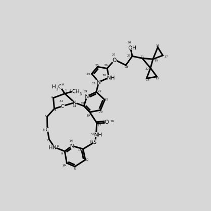 CC1(C)CC2CCCNc3cccc(n3)SNC(=O)c3ccc(N4C=CC(OCC(O)C5C6(CC6)C56CC6)N4)nc3N1C2